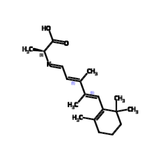 CC1=C(/C=C(C)/C(C)=C/C=N[C@@H](C)C(=O)O)C(C)(C)CCC1